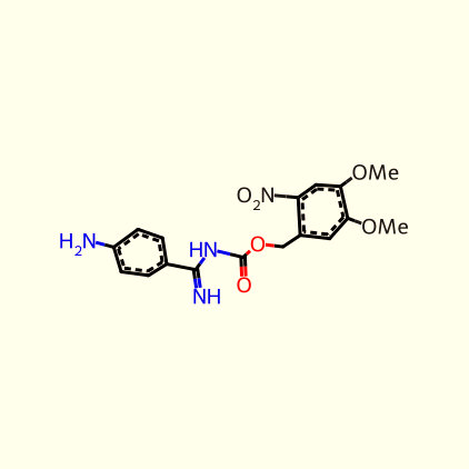 COc1cc(COC(=O)NC(=N)c2ccc(N)cc2)c([N+](=O)[O-])cc1OC